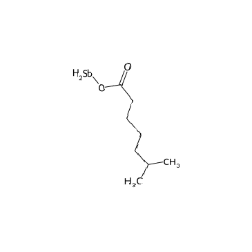 CC(C)CCCCC(=O)[O][SbH2]